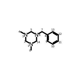 CN1CN(C)CN(Cc2ccccc2)C1